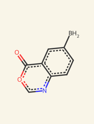 Bc1ccc2ncoc(=O)c2c1